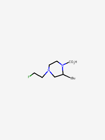 CC(C)(C)C1CN(CCF)CCN1C(=O)O